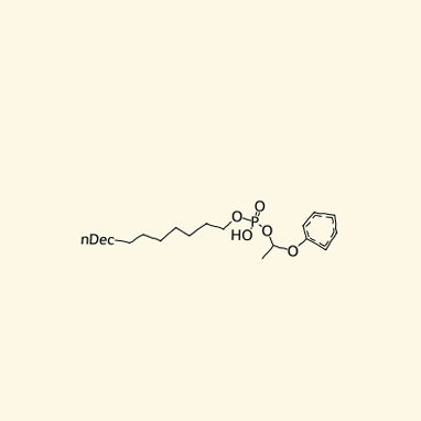 CCCCCCCCCCCCCCCCCOP(=O)(O)OC(C)Oc1ccccc1